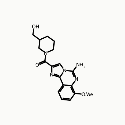 COc1cccc2c1nc(N)n1cc(C(=O)N3CCCC(CO)C3)nc21